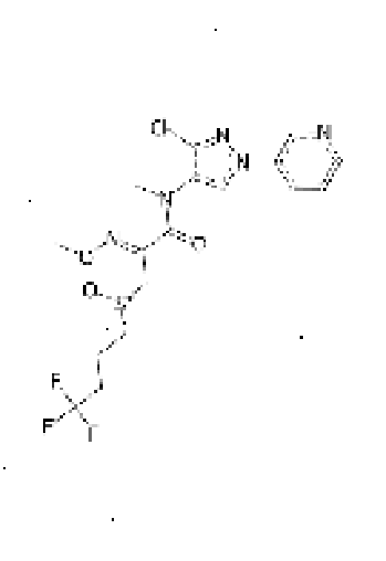 CON=C(C[S+]([O-])CCCC(F)(F)F)C(=O)N(C)c1cn(-c2cccnc2)nc1Cl